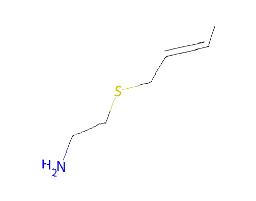 CC=CCSCCN